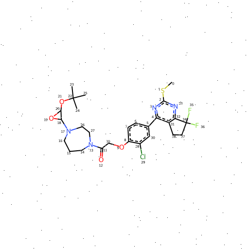 CSc1nc(-c2ccc(OCC(=O)N3CCCN(C4OC4OC(C)(C)C)CC3)c(Cl)c2)c2c(n1)C(F)(F)CC2